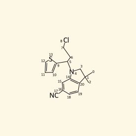 CC1(C)CN(C(CCCl)c2cccs2)c2cc(C#N)ccc21